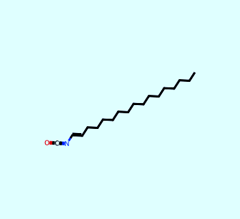 CCCCCCCCCCCCCCC/C=C/N=C=O